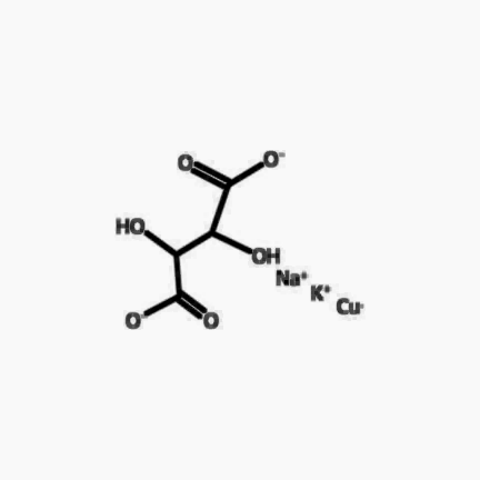 O=C([O-])C(O)C(O)C(=O)[O-].[Cu].[K+].[Na+]